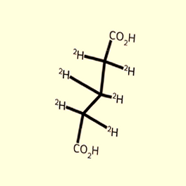 [2H]C([2H])(C(=O)O)C([2H])([2H])C([2H])([2H])C(=O)O